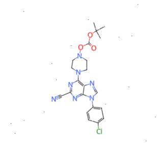 CC(C)(C)OC(=O)ON1CCN(c2nc(C#N)nc3c2ncn3-c2ccc(Cl)cc2)CC1